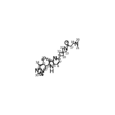 Cc1c(-c2[nH]c3ccc(C4CC5(C4)CN(C(=O)CCN(C)C)C5)nc3c2C(C)C)cn2ncnc2c1C